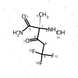 C[C@@](N)(C(N)=O)C(=O)CC(F)(F)F.Cl